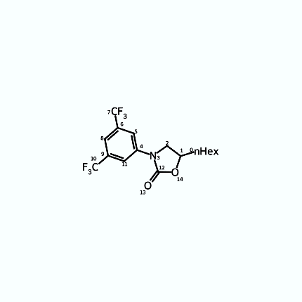 CCCCCCC1CN(c2cc(C(F)(F)F)cc(C(F)(F)F)c2)C(=O)O1